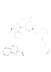 C=CCCC[C@@H]1CCC[C@H]1OC(=O)N[C@H](C(=O)N1C[C@H](Oc2cc3ccccc3nc2C=C)C[C@H]1C(=O)OC)C1CCCC1